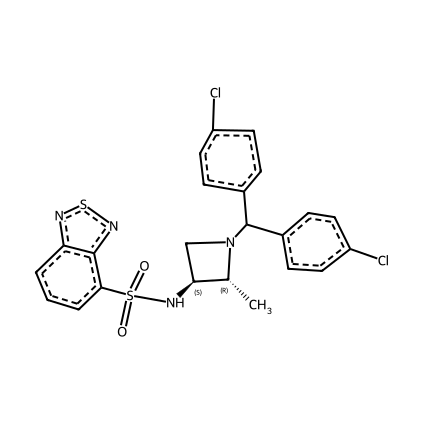 C[C@@H]1[C@@H](NS(=O)(=O)c2cccc3nsnc23)CN1C(c1ccc(Cl)cc1)c1ccc(Cl)cc1